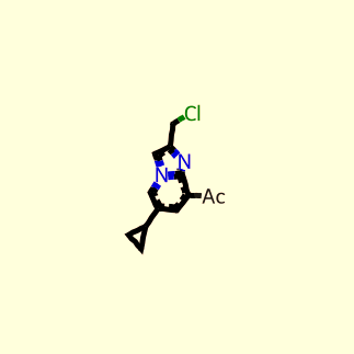 CC(=O)c1cc(C2CC2)cn2cc(CCl)nc12